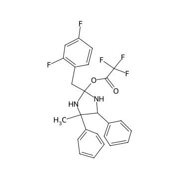 CC1(c2ccccc2)NC(Cc2ccc(F)cc2F)(OC(=O)C(F)(F)F)NC1c1ccccc1